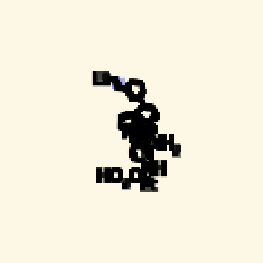 CC/C=C/c1cccc(-c2ccc(CC(N)(c3cccc(NC(CC)C(=O)O)n3)S(=O)(=O)c3ccccn3)cc2)c1